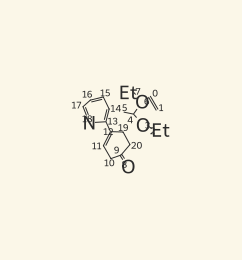 C=C.CCOC(C)OCC.O=C1CC=C(c2ccccn2)CC1